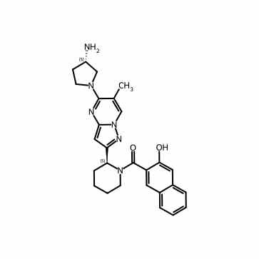 Cc1cn2nc([C@@H]3CCCCN3C(=O)c3cc4ccccc4cc3O)cc2nc1N1CC[C@H](N)C1